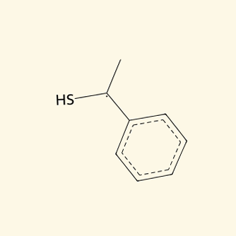 C[C](S)c1ccccc1